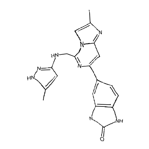 Cc1cn2c(Nc3cc(C)[nH]n3)nc(-c3ccc4c(c3)[N]C(=O)N4)cc2n1